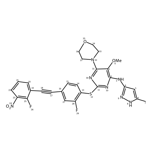 COc1c(Nc2cc(C)[nH]n2)nc(Sc2ccc(C#Cc3cccc([N+](=O)[O-])c3F)cc2F)nc1N1CCOCC1